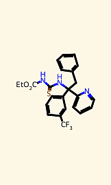 CCOC(=O)NC(=S)NC(Cc1ccccc1)(c1cccc(C(F)(F)F)c1)c1ccccn1